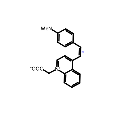 CNc1ccc(/C=C\c2cc[n+](CC(=O)[O-])c3ccccc23)cc1